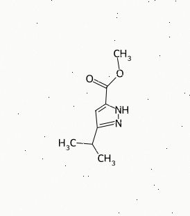 COC(=O)c1cc(C(C)C)n[nH]1